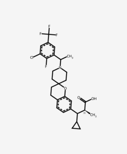 CC(c1cc(C(F)(F)F)cc(Cl)c1F)N1CCC2(CCc3ccc(C(C4CC4)[C@H](C)C(=O)O)cc3O2)CC1